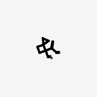 NC1(C(=O)O)CCC12CC2